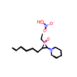 CCCCCCC1C(N2CCCCC2)P1(=O)CC.O=[N+]([O-])O